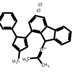 CC1=CC(c2ccccc2)C(c2cccc3c2[CH]([Zr+2]=[C](C)C)c2ccccc2-3)=C1.[Cl-].[Cl-]